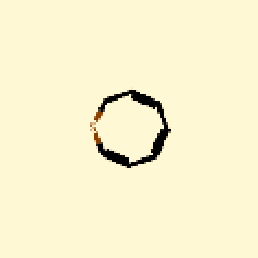 C1=CC=CSCC=C1